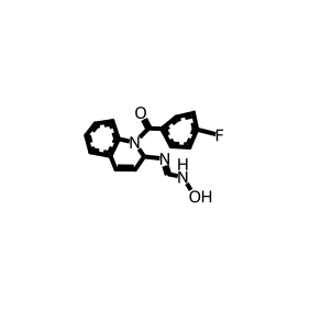 O=C(c1ccc(F)cc1)N1c2ccccc2C=CC1N=CNO